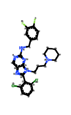 Fc1ccc(CNc2ncc3nc(-c4c(Cl)cccc4Cl)n(CCCN4CCCCC4)c3n2)cc1F